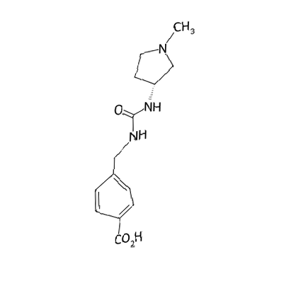 CN1CC[C@@H](NC(=O)NCc2ccc(C(=O)O)cc2)C1